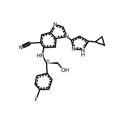 N#Cc1cc2ncn(-c3cc(C4CC4)[nH]n3)c2cc1N[C@@H](CO)c1ccc(F)cc1